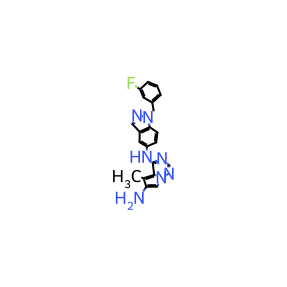 Cc1c(N)cn2ncnc(Nc3ccc4c(cnn4Cc4cccc(F)c4)c3)c12